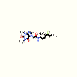 C=C/C(F)=C(C)\C=C/CNC(=O)Cn1cnc2c1c(=O)n(C)c(=O)n2C